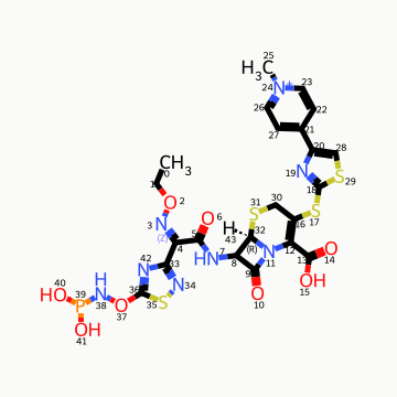 CCO/N=C(\C(=O)NC1C(=O)N2C(C(=O)O)=C(Sc3nc(-c4cc[n+](C)cc4)cs3)CS[C@H]12)c1nsc(ONP(O)O)n1